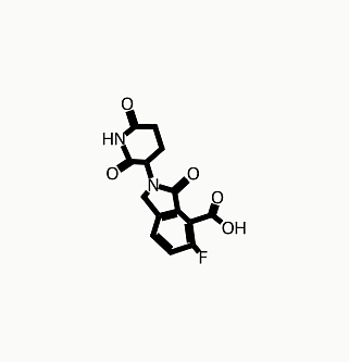 O=C1CCC(N2Cc3ccc(F)c(C(=O)O)c3C2=O)C(=O)N1